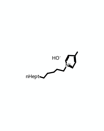 CCCCCCCCCCCC[n+]1ccc(C)cc1.[OH-]